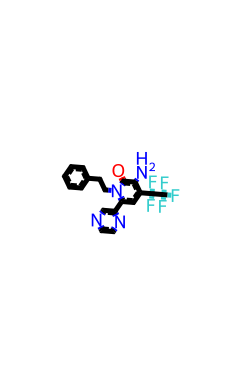 Nc1c(C(F)(F)C(F)(F)F)cc(-c2cnccn2)n(CCc2ccccc2)c1=O